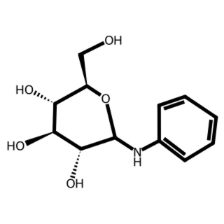 OC[C@H]1OC(Nc2ccccc2)[C@H](O)[C@@H](O)[C@@H]1O